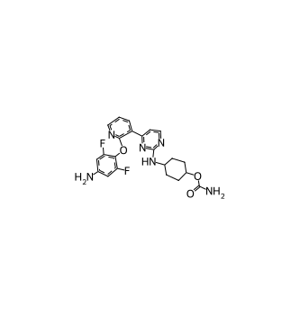 NC(=O)OC1CCC(Nc2nccc(-c3cccnc3Oc3c(F)cc(N)cc3F)n2)CC1